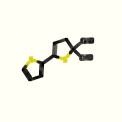 O=CC1(C=O)CC=C(c2cccs2)S1